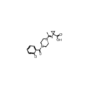 C/C(=N\C1(C(=O)O)CC1)N1CCN(C(=O)c2ccccc2Cl)CC1